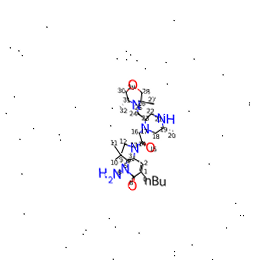 CCCCc1cc2c(n(N)c1=O)C(C)(C)CN2C(=O)CN1C[C@@H](C)NC[C@@H]1CN1[C@H](C)COC[C@H]1C